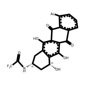 CC(=O)c1cccc2c1C(=O)c1c(O)c3c(c(O)c1C2=O)[C@H](O)C[C@H](NC(=O)C(F)(F)F)C3